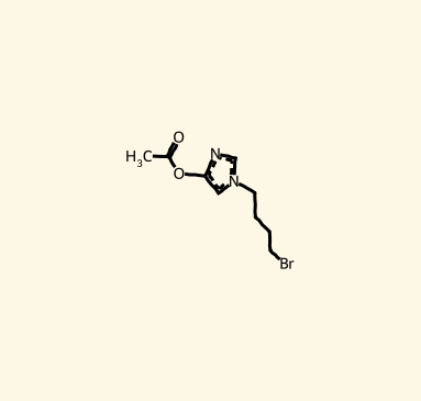 CC(=O)Oc1cn(CCCCBr)cn1